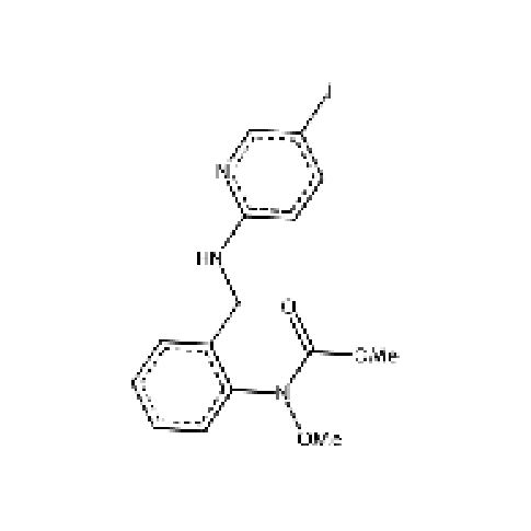 COC(=O)N(OC)c1ccccc1CNc1ccc(I)cn1